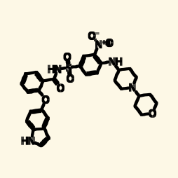 O=C(NS(=O)(=O)c1ccc(NC2CCN(C3CCOCC3)CC2)c([N+](=O)[O-])c1)c1ccccc1Oc1ccc2[nH]ccc2c1